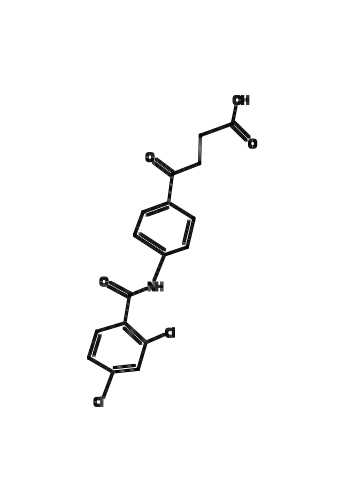 O=C(O)CCC(=O)c1ccc(NC(=O)c2ccc(Cl)cc2Cl)cc1